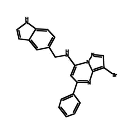 Brc1cnn2c(NCc3ccc4[nH]ccc4c3)cc(-c3ccccc3)nc12